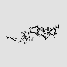 CC(C)c1c(-c2ccnc(Cl)c2)[nH]c2ccc(C3CCN(C(=O)O)CC3)cc12